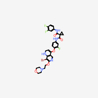 O=C(Nc1ccc(F)c(F)c1)C1(C(=O)Nc2ccc(OC3=CCNc4c3cnc(OCCN3CCOCC3)c4Br)c(F)c2)CC1